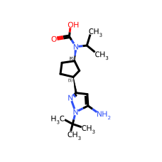 CC(C)N(C(=O)O)[C@@H]1CC[C@H](c2cc(N)n(C(C)(C)C)n2)C1